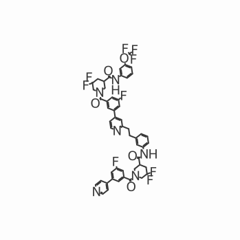 O=C(Nc1cccc(CCc2cc(-c3cc(F)cc(C(=O)N4CC(C(=O)Nc5cccc(OC(F)(F)F)c5)CC(F)(F)C4)c3)ccn2)c1)C1CN(C(=O)c2cc(F)cc(-c3ccncc3)c2)CC(F)(F)C1